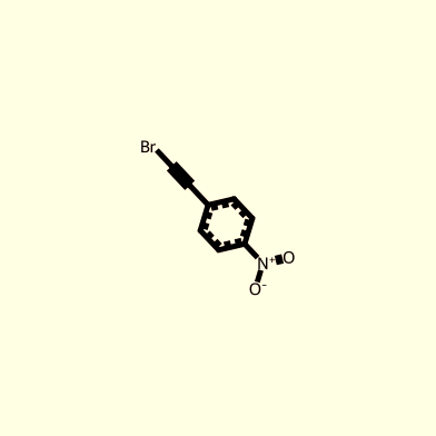 O=[N+]([O-])c1ccc(C#CBr)cc1